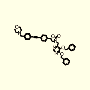 O=C1OC(c2ccc(C#Cc3ccc(CN4CCOCC4)cc3)cc2)CN1Cc1ncnc(OCc2ccccc2)c1OCc1ccccc1